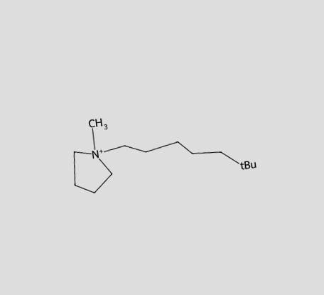 CC(C)(C)CCCCC[N+]1(C)CCCC1